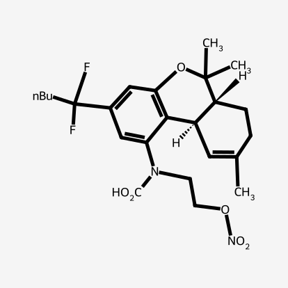 CCCCC(F)(F)c1cc2c(c(N(CCO[N+](=O)[O-])C(=O)O)c1)[C@@H]1C=C(C)CC[C@H]1C(C)(C)O2